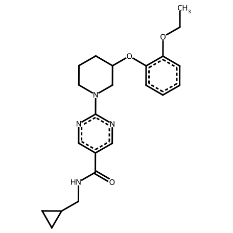 CCOc1ccccc1OC1CCCN(c2ncc(C(=O)NCC3CC3)cn2)C1